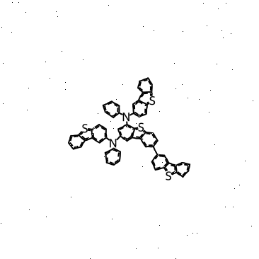 c1ccc(N(c2ccc3sc4ccccc4c3c2)c2cc(N(c3ccccc3)c3ccc4sc5ccccc5c4c3)c3sc4ccc(-c5ccc6sc7ccccc7c6c5)cc4c3c2)cc1